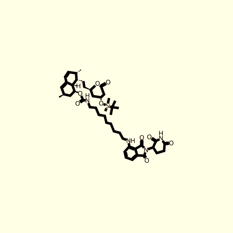 C[C@H]1C=C2C=C[C@H](C)[C@H](CC[C@@H]3C[C@@H](O[Si](C)(C)C(C)(C)C)CC(=O)O3)[C@H]2[C@@H](OC(=O)NCCCCCCCCCNc2cccc3c2C(=O)N(C2CCC(=O)NC2=O)C3=O)C1